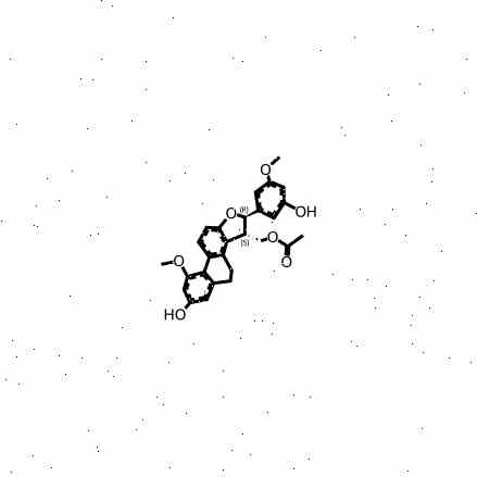 COc1cc(O)cc([C@@H]2Oc3ccc4c(c3[C@H]2COC(C)=O)CCc2cc(O)cc(OC)c2-4)c1